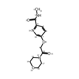 CNC(=O)c1ccc(OCC(=O)N2CCOCC2)cn1